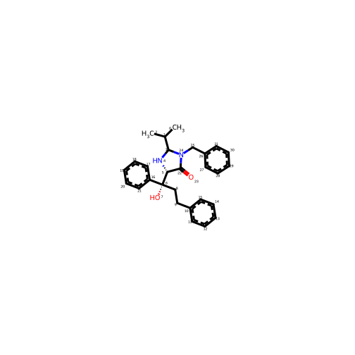 CC(C)C1N[C@@H]([C@@](O)(CCc2ccccc2)c2ccccc2)C(=O)N1Cc1ccccc1